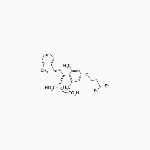 CCN(CC)CCOc1cc(C)c(C(=O)C=Cc2ccccc2C)c(C)c1.O=C(O)C=CC(=O)O